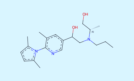 CCCN(CC(O)c1cnc(-n2c(C)ccc2C)c(C)c1)[C@@H](C)CO